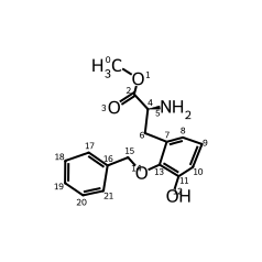 COC(=O)[C@@H](N)Cc1cccc(O)c1OCc1ccccc1